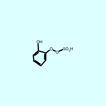 O=S(=O)(O)OOc1ccccc1O